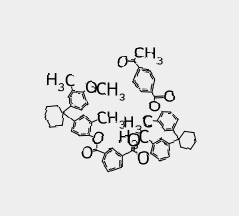 COc1ccc(C2(c3ccc(OC(=O)c4cccc(C(=O)Oc5ccc(C6(c7ccc(OC(=O)c8ccc(C(C)=O)cc8)c(C)c7)CCCCC6)cc5C)c4)c(C)c3)CCCCC2)cc1C